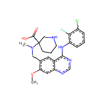 COc1cc2ncnc(Nc3cccc(Cl)c3F)c2cc1CN(C)C1(C(=O)O)CCCNC1